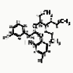 CCCC(CCC)[C@H](CC)OC(=O)[C@H](Nc1cccc(F)c1)c1cccc(F)c1